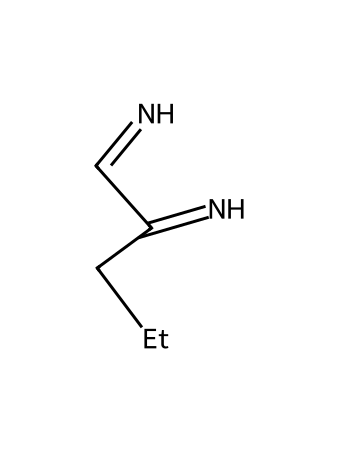 CCCC(=N)C=N